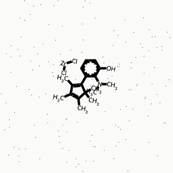 CC1=C(C)C(C)(C)C(c2cccc(O)c2N(C)C)=C1C.[Cl][Zr][Cl]